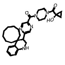 O=C(c1cnc(C2CNc3ccccc3C23CCCCCCCC3)cn1)N1CCN(C(=O)C2(O)CC2)CC1